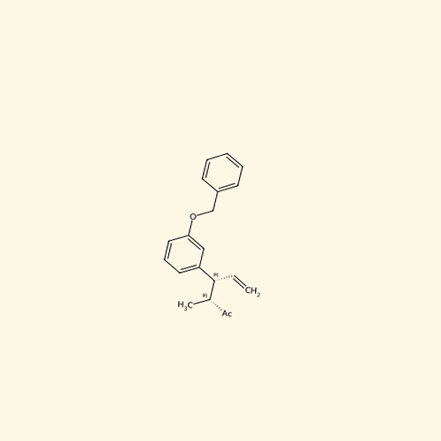 C=C[C@@H](c1cccc(OCc2ccccc2)c1)[C@@H](C)C(C)=O